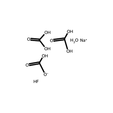 F.O.O=C(O)O.O=C(O)O.O=C([O-])O.[Na+]